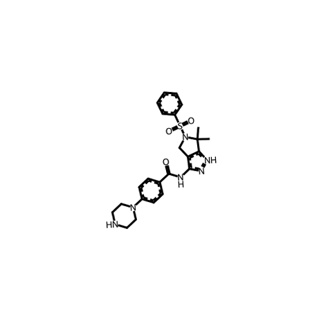 CC1(C)c2[nH]nc(NC(=O)c3ccc(N4CCNCC4)cc3)c2CN1S(=O)(=O)c1ccccc1